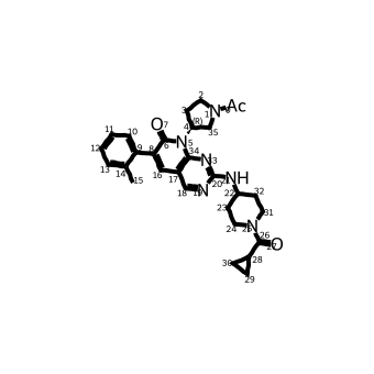 CC(=O)N1CC[C@@H](n2c(=O)c(-c3ccccc3C)cc3cnc(NC4CCN(C(=O)C5CC5)CC4)nc32)C1